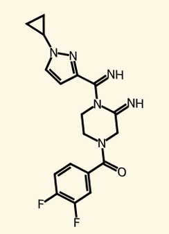 N=C1CN(C(=O)c2ccc(F)c(F)c2)CCN1C(=N)c1ccn(C2CC2)n1